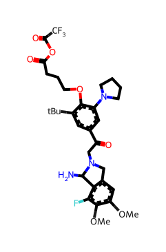 COc1cc2c(c(F)c1OC)C(N)N(CC(=O)c1cc(N3CCCC3)c(OCCCC(=O)OC(=O)C(F)(F)F)c(C(C)(C)C)c1)C2